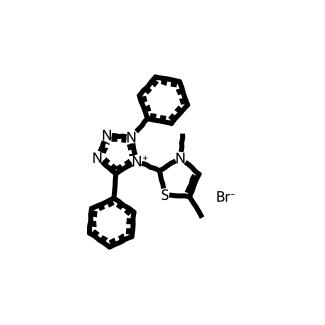 CC1=CN(C)C([n+]2c(-c3ccccc3)nnn2-c2ccccc2)S1.[Br-]